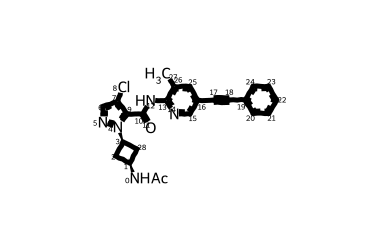 CC(=O)N[C@H]1C[C@@H](n2ncc(Cl)c2C(=O)Nc2ncc(C#Cc3ccccc3)cc2C)C1